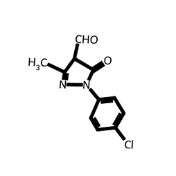 CC1=NN(c2ccc(Cl)cc2)C(=O)C1C=O